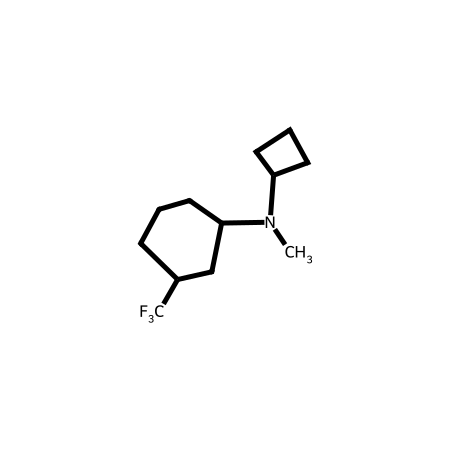 CN(C1CCC1)C1CCCC(C(F)(F)F)C1